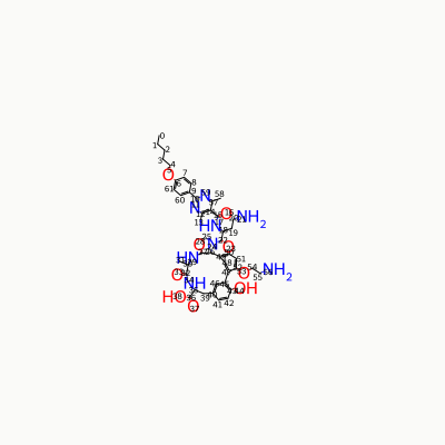 CCCCCOc1ccc(-c2nc(C)c(C(=O)NC(CCN)C(=O)N(C)C3C(=O)NC(C)C(=O)NC(C(=O)O)Cc4ccc(O)c(c4)-c4cc3ccc4OCCN)c(C)n2)cc1